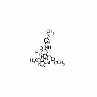 CCSc1ccc(CN/C(=N/c2cnc(-c3c(OC)ncnc3C3CC3)nc2CC2CC(OC)C2)C(C)=O)nc1